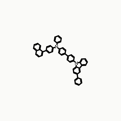 c1ccc(-c2ccc3c(c2)c2ccccc2n3-c2ccc(-c3ccc(N(c4ccccc4)c4ccc(-c5cccc6ccccc56)cc4)cc3)cc2)cc1